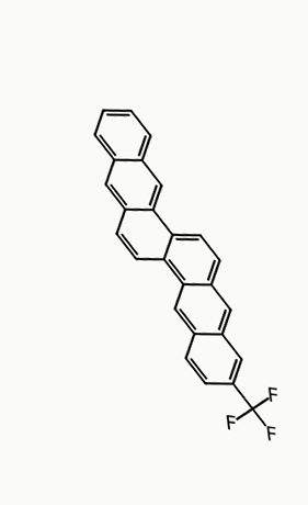 FC(F)(F)c1ccc2cc3c(ccc4c5cc6ccccc6cc5ccc34)cc2c1